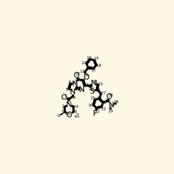 C[C@H]1CN(C(=O)Cn2ccn3c(=O)c(OCc4ccccc4)c(-c4ncc(Cc5ccc(F)cc5C(=O)N(C)C)s4)nc23)C[C@H](C)O1